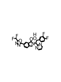 O=C1c2cc(-c3nnc(C(F)F)o3)ccc2CN1C(c1ncccn1)C(O)c1ccc(F)c(F)c1